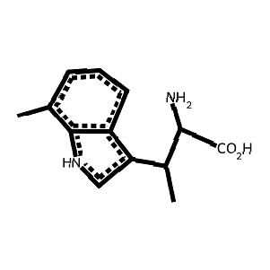 Cc1cccc2c(C(C)C(N)C(=O)O)c[nH]c12